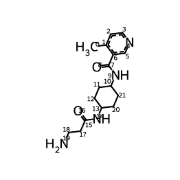 Cc1ccncc1C(=O)NC1CCC(NC(=O)CCN)CC1